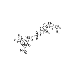 CC(C)CCC[C@@H](C)[C@H]1CCC2C3CC=C4CC(OC(=O)NCCCC(=O)N[C@H]5C[C@@H](C(=O)NCCc6cnc[nH]6)N(C(=O)OC(C)(C)C)C5)CC[C@]4(C)C3CC[C@@]21C